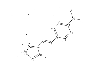 CN(C)c1ccc(C=Cc2cc[nH]n2)cc1